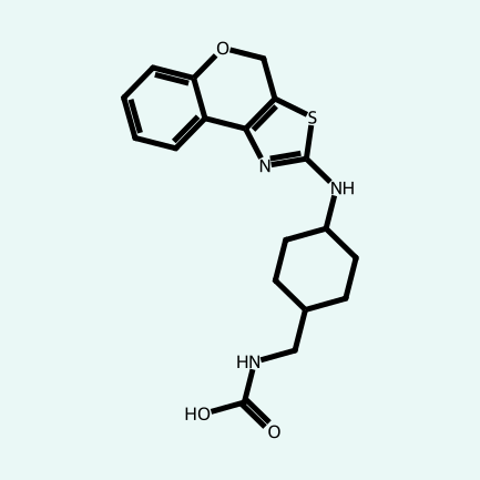 O=C(O)NCC1CCC(Nc2nc3c(s2)COc2ccccc2-3)CC1